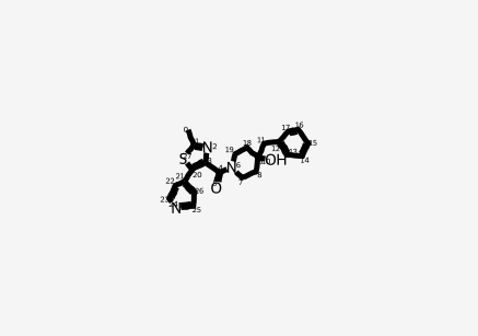 Cc1nc(C(=O)N2CCC(O)(Cc3ccccc3)CC2)c(-c2ccncc2)s1